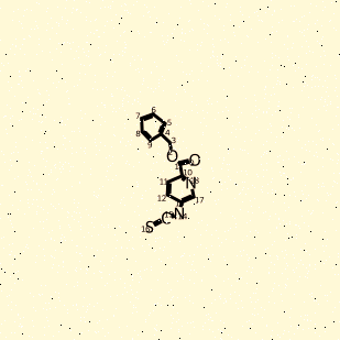 O=C(OCc1ccccc1)c1ccc(N=C=S)cn1